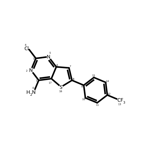 Nc1nc(Cl)nc2cc(-c3ccc(C(F)(F)F)cc3)sc12